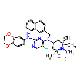 CN1C(C)(C)CC(N(Cc2ccc3ccccc3c2)c2nc(Nc3ccc4c(c3)OCCO4)ncc2F)CC1(C)C